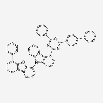 c1ccc(-c2ccc(-c3nc(-c4ccccc4)nc(-c4cccc5c4c4ccccc4n5-c4cccc5c4oc4c(-c6ccccc6)cccc45)n3)cc2)cc1